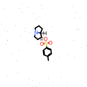 Cc1ccc(S(=O)(=O)O[C@@H]2CCN3CCC[C@@H]23)cc1